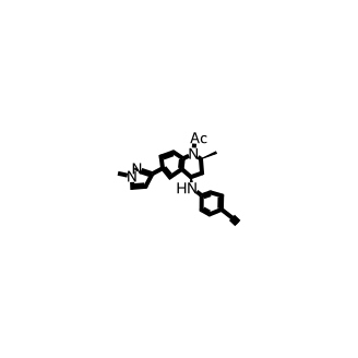 C#Cc1ccc(N[C@@H]2C[C@H](C)N(C(C)=O)c3ccc(-c4ccn(C)n4)cc32)cc1